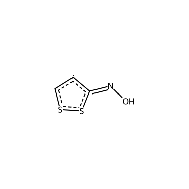 ON=c1[c]css1